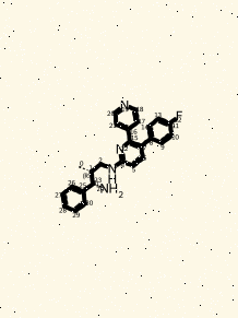 C[C@H](CNc1ccc(-c2ccc(F)cc2)c(-c2ccncc2)n1)[C@H](N)c1ccccc1